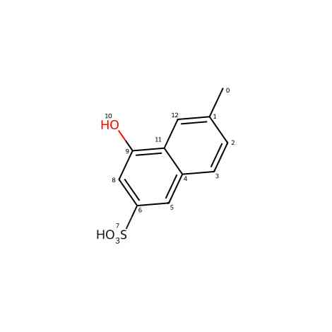 Cc1ccc2cc(S(=O)(=O)O)cc(O)c2c1